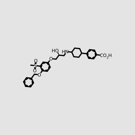 CS(=O)(=O)c1cc(OC[C@@H](O)CNC2CCC(c3ccc(C(=O)O)cc3)CC2)ccc1OCc1ccccc1